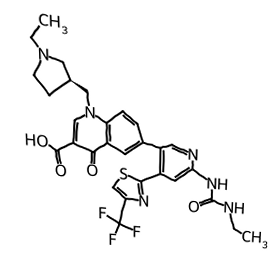 CCNC(=O)Nc1cc(-c2nc(C(F)(F)F)cs2)c(-c2ccc3c(c2)c(=O)c(C(=O)O)cn3C[C@H]2CCN(CC)C2)cn1